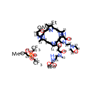 CCC1=C(C)c2cc3[nH]c(cc4nc(c5c6[nH]c(cc1n2)c(C)c6C(=O)N(CCN1CCOCC1)C5=O)[C@@H](CCC(=O)N(C)CCNC(=O)OC(C)(C)C)[C@@H]4C)c(C)c3/C=C\C(=O)OC.COC(=O)CP(=O)(OCC(F)(F)F)OCC(F)(F)F